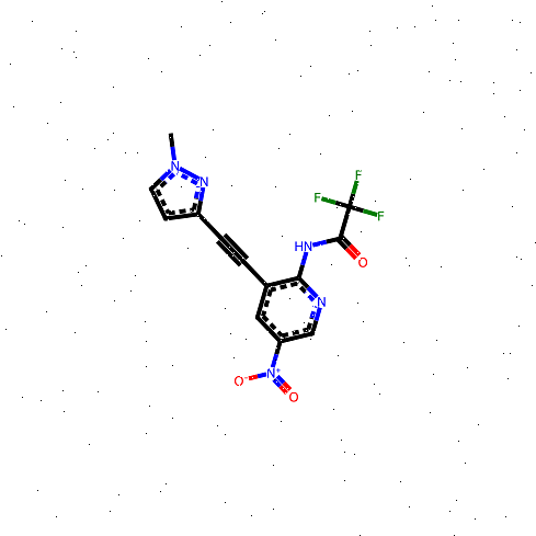 Cn1ccc(C#Cc2cc([N+](=O)[O-])cnc2NC(=O)C(F)(F)F)n1